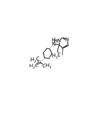 CCC1(N[C@H]2CC[C@@H]([Si](C)(C)C)CC2)NC=NC=C1I